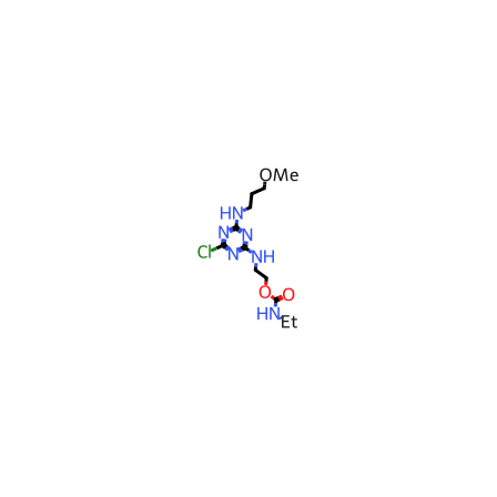 CCNC(=O)OCCNc1nc(Cl)nc(NCCCOC)n1